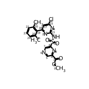 COC(=O)c1cncc(S(=O)(=O)Nc2nc(Cl)cc(-c3c(C)cccc3C)n2)n1